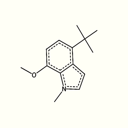 COc1ccc(C(C)(C)C)c2ccn(C)c12